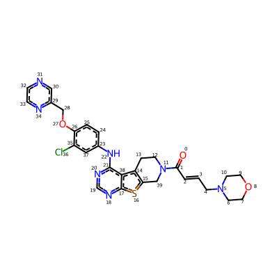 O=C(C=CCN1CCOCC1)N1CCc2c(sc3ncnc(Nc4ccc(OCc5cnccn5)c(Cl)c4)c23)C1